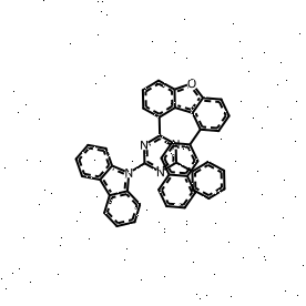 c1ccc(-c2nc(-c3cccc4oc5cccc(-c6ccc7ccccc7c6)c5c34)nc(-n3c4ccccc4c4ccccc43)n2)cc1